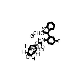 C[N+]1(C)[C@@H]2C[C@@H](OC(=O)Nc3ccc(F)cc3-c3csc4ccccc34)C[C@H]1[C@@H]1O[C@@H]12.O=C[O-]